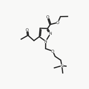 CCOC(=O)c1cc(CC(C)=O)n(COCC[Si](C)(C)C)n1